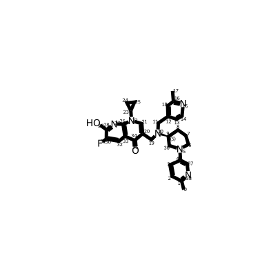 Cc1ccc(N2CCC[C@H](N(Cc3ccnc(C)c3)Cc3cn(C4CC4)c4nc(O)c(F)cc4c3=O)C2)cn1